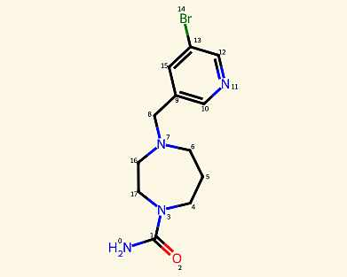 NC(=O)N1CCCN(Cc2cncc(Br)c2)CC1